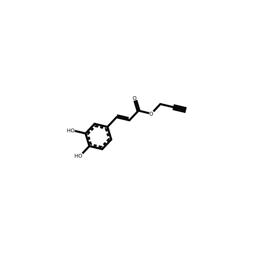 C#CCOC(=O)/C=C/c1ccc(O)c(O)c1